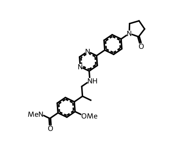 CNC(=O)c1ccc(C(C)CNc2cc(-c3ccc(N4CCCC4=O)cc3)ncn2)c(OC)c1